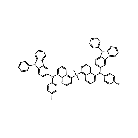 C[Si](C)(c1cccc2c(N(c3ccc(F)cc3)c3ccc4c(c3)c3ccccc3n4-c3ccccc3)cccc12)c1cccc2c(N(c3ccc(F)cc3)c3ccc4c(c3)c3ccccc3n4-c3ccccc3)cccc12